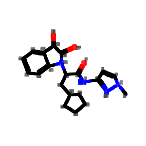 Cn1ccc(NC(=O)C(CC2CCCC2)N2C(=O)C(=O)c3ccccc32)n1